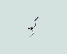 C=CCBCC